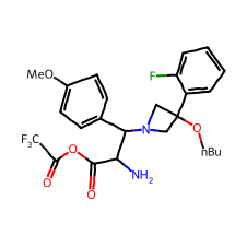 CCCCOC1(c2ccccc2F)CN(C(c2ccc(OC)cc2)C(N)C(=O)OC(=O)C(F)(F)F)C1